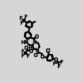 Cc1cc(-c2ccc3c(c2)C(=O)N2CCN(C(=O)COc4ccc(OC(F)(F)F)cc4Cl)C(OC(=O)C(F)(F)F)[C@H]2CN3)cc(C(F)(F)F)c1